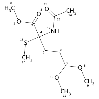 COC(=O)C(CCC(OC)OC)(NC(C)=O)SC